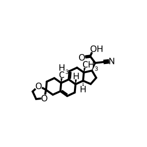 C[C@]12CCC3(CC1=CC[C@@H]1C2=CC[C@]2(C)[C@@H](C(C#N)C(=O)O)CC[C@@H]12)OCCO3